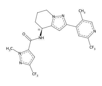 Cc1cnc(C(F)(F)F)cc1-c1cc2n(n1)CCC[C@@H]2NC(=O)c1cc(C(F)(F)F)nn1C